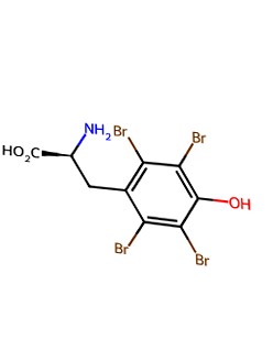 N[C@@H](Cc1c(Br)c(Br)c(O)c(Br)c1Br)C(=O)O